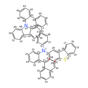 c1cc(-c2ccc(N(c3ccc4sc5ccccc5c4c3)c3ccccc3-c3cccc4ccccc34)cc2)cc(-c2ccccc2-n2c3ccccc3c3ccccc32)c1